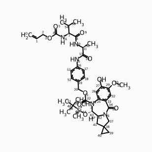 C=CCOC(=O)N[C@H](C(=O)N[C@@H](C)C(=O)Nc1ccc(COC(=O)N2c3cc(O)c(OC)cc3C(=O)N3CC4(CC4)C[C@H]3[C@@H]2O[Si](C)(C)C(C)(C)C)cc1)C(C)C